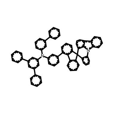 c1ccc(-c2cccc(N(c3cc(-c4ccccc4)cc(-c4ccccc4)c3)c3cccc(-c4cccc5c4-c4ccccc4C54c5ccccc5-n5c6ccccc6c6cccc4c65)c3)c2)cc1